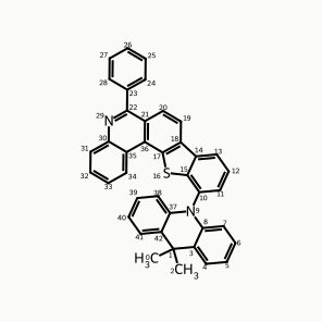 CC1(C)c2ccccc2N(c2cccc3c2sc2c3ccc3c(-c4ccccc4)nc4ccccc4c32)c2ccccc21